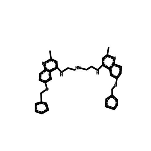 Cc1cc(NCCNCCNc2cc(C)nc3ccc(OCc4ccccc4)cc23)c2cc(OCc3ccccc3)ccc2n1